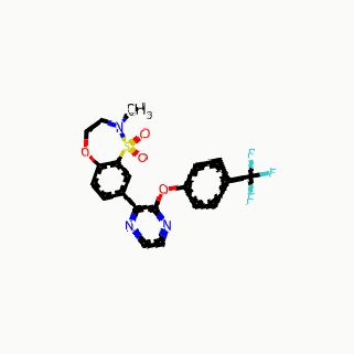 CN1CCOc2ccc(-c3nccnc3Oc3ccc(C(F)(F)F)cc3)cc2S1(=O)=O